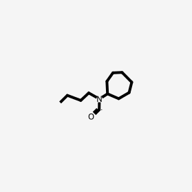 CCCCN([C]=O)C1CCCCCC1